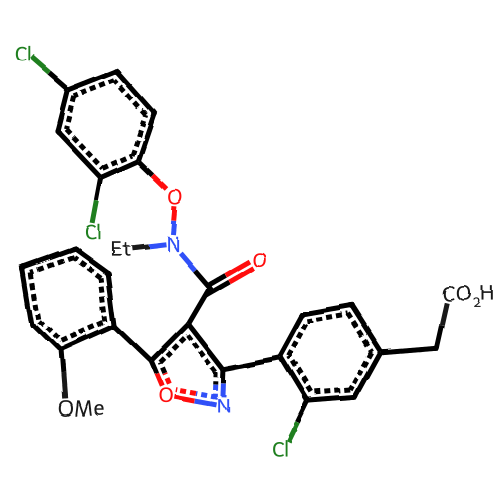 CCN(Oc1ccc(Cl)cc1Cl)C(=O)c1c(-c2ccc(CC(=O)O)cc2Cl)noc1-c1ccccc1OC